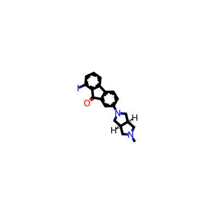 CN1C[C@@H]2CN(c3ccc4c(c3)C(=O)c3c(I)cccc3-4)C[C@@H]2C1